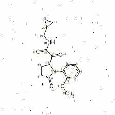 COc1ccccc1N1C(=O)CC[C@H]1C(=O)C(=O)NCC1CC1